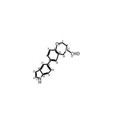 O=CN1CCOc2ccc(-c3ccc4[nH]ccc4c3)cc2C1